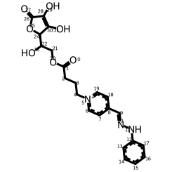 O=C(CCC[n+]1ccc(/C=N/Nc2ccccc2)cc1)OCC(O)C1OC(=O)C(O)=C1O